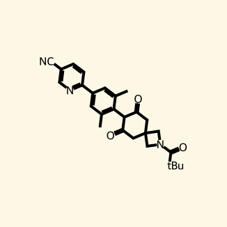 Cc1cc(-c2ccc(C#N)cn2)cc(C)c1C1C(=O)CC2(CC1=O)CN(C(=O)C(C)(C)C)C2